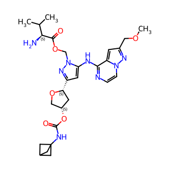 COCc1cc2c(Nc3cc([C@@H]4C[C@H](OC(=O)NC56CC(C5)C6)CO4)nn3COC(=O)[C@@H](N)C(C)C)nccn2n1